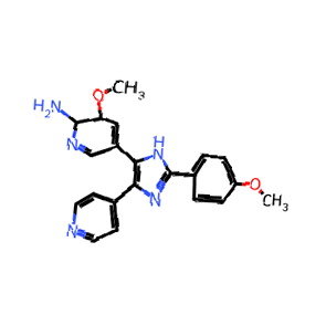 COc1ccc(-c2nc(-c3ccncc3)c(C3=CC(OC)C(N)N=C3)[nH]2)cc1